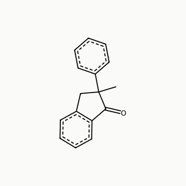 CC1(c2ccccc2)Cc2ccccc2C1=O